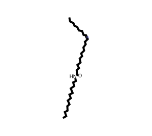 CCCCCCCC/C=C\CCCCCCCCCCCC(=O)NCCCCCCCCCCCCCC